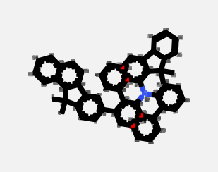 CC1(C)c2ccc(-c3cccc(N(c4ccccc4-c4ccccc4)c4cccc5c4C(C)(C)C4C=CC=CC54)c3-c3ccccc3)cc2-c2ccc3ccccc3c21